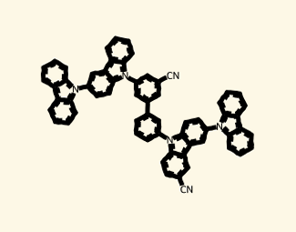 N#Cc1cc(-c2cccc(-n3c4ccc(C#N)cc4c4cc(-n5c6ccccc6c6ccccc65)ccc43)c2)cc(-n2c3ccccc3c3cc(-n4c5ccccc5c5ccccc54)ccc32)c1